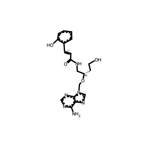 Nc1ncnc2c1ncn2CO[C@@H](CCO)CNC(=O)/C=C/c1ccccc1O